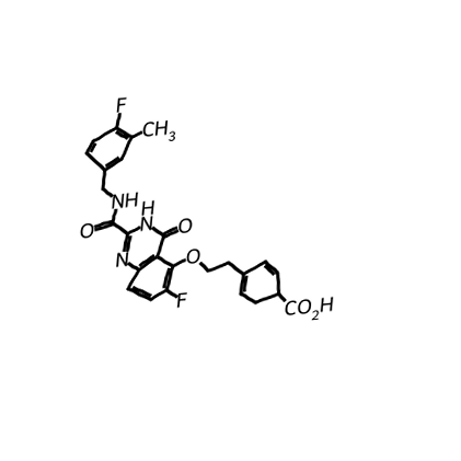 Cc1cc(CNC(=O)c2nc3ccc(F)c(OCCC4=CCC(C(=O)O)C=C4)c3c(=O)[nH]2)ccc1F